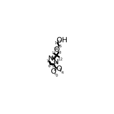 COC(OC)c1ccnc(C(C)(C)COCCO)n1